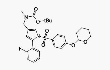 CN(Cc1cc(-c2ccccc2F)n(S(=O)(=O)c2ccc(OC3CCCCO3)cc2)c1)C(=O)OC(C)(C)C